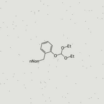 CCCCCCCCCCc1ccccc1OC(OCC)OCC